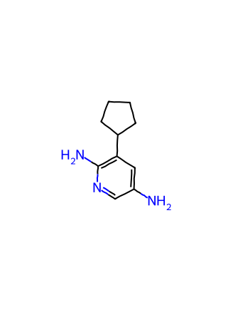 Nc1cnc(N)c(C2CCCC2)c1